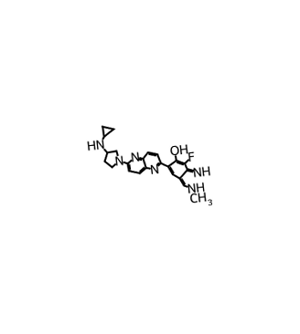 CN/C=C1/C=C(c2ccc3nc(N4CCC(NC5CC5)C4)ccc3n2)C(O)=C(F)C1=N